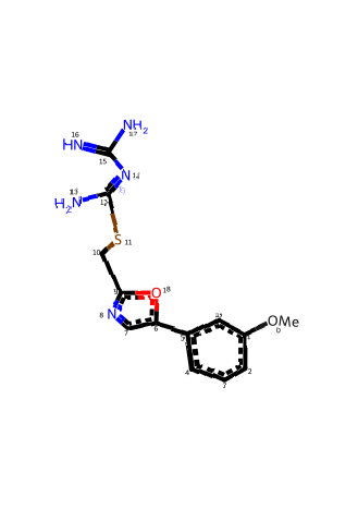 COc1cccc(-c2cnc(CS/C(N)=N/C(=N)N)o2)c1